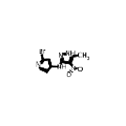 Cc1[nH]nc(Nc2[c]cnc(Br)c2)c1[N+](=O)[O-]